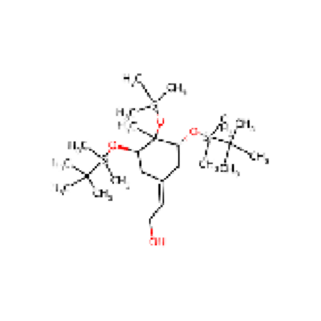 CC1(O[Si](C)(C)C)[C@H](O[Si](C)(C)C(C)(C)C)CC(=CCO)C[C@H]1O[Si](C)(C)C(C)(C)C